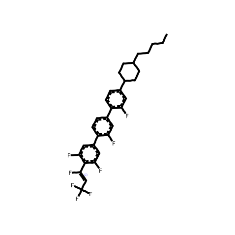 CCCCCC1CCC(c2ccc(-c3ccc(-c4cc(F)c(/C(F)=C/C(F)(F)F)c(F)c4)c(F)c3)c(F)c2)CC1